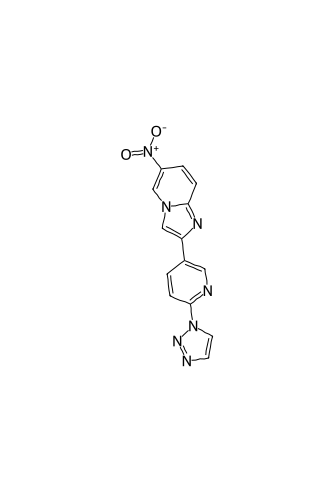 O=[N+]([O-])c1ccc2nc(-c3ccc(-n4ccnn4)nc3)cn2c1